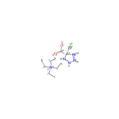 CC[N+](CC)(CC)CC.O=C([O-])C1(Br)N=NN=N1